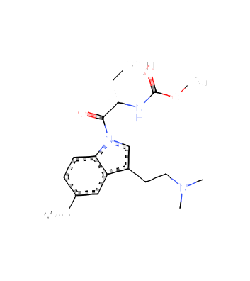 COc1ccc2c(c1)c(CCN(C)C)cn2C(=O)[C@H](CC(=O)O)NC(=O)OC(C)(C)C